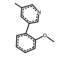 COc1ccccc1-c1cncc(C)c1